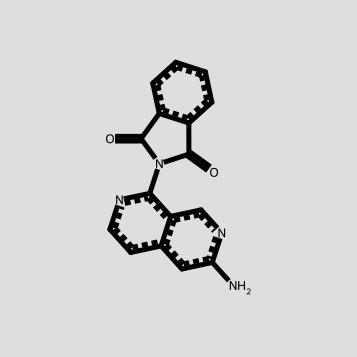 Nc1cc2ccnc(N3C(=O)c4ccccc4C3=O)c2cn1